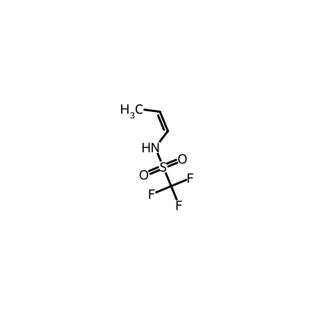 C/C=C\NS(=O)(=O)C(F)(F)F